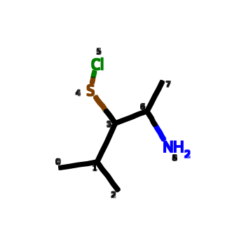 CC(C)C(SCl)C(C)N